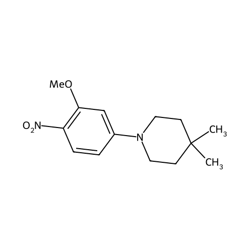 COc1cc(N2CCC(C)(C)CC2)ccc1[N+](=O)[O-]